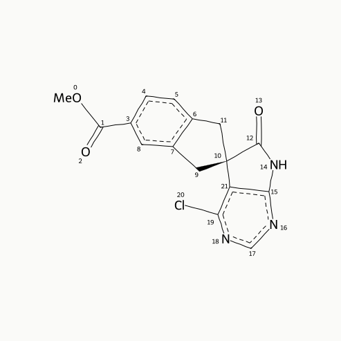 COC(=O)c1ccc2c(c1)C[C@@]1(C2)C(=O)Nc2ncnc(Cl)c21